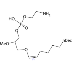 CCCCCCCCCCCCCC/C=C\OCC(COP(=O)(O)OCCN)OC